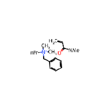 C=CC(=O)NC.CCC[N+](C)(C)Cc1ccccc1